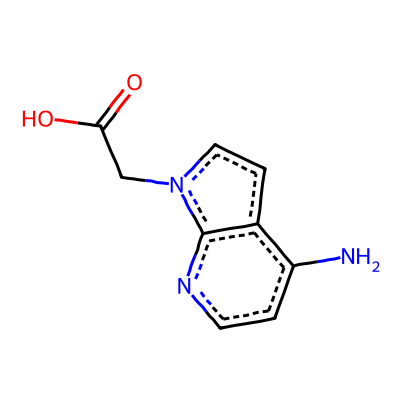 Nc1ccnc2c1ccn2CC(=O)O